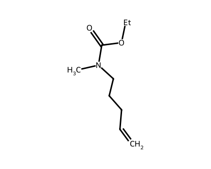 C=CCCCN(C)C(=O)OCC